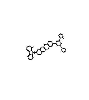 Cc1cccc2c3ccccc3n(-c3ccc4cc5c(cc4c3)Cc3ccc(-c4cc(-c6cccs6)nc(-c6cccs6)c4)cc3C5)c12